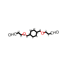 O=CCCOCC1CCC(COCCC=O)CC1